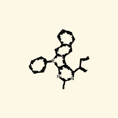 C=CC(=C)c1nc(C)nc2c1c1cc3ccccc3cc1n2-c1ccccc1